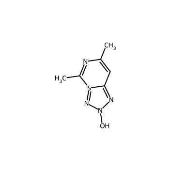 CC1=CC2=NN(O)N=S2C(C)=N1